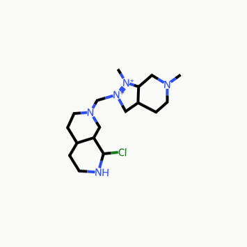 CN1CCC2C[N+](CN3CCC4CCNC(Cl)C4C3)=[N+](C)C2C1